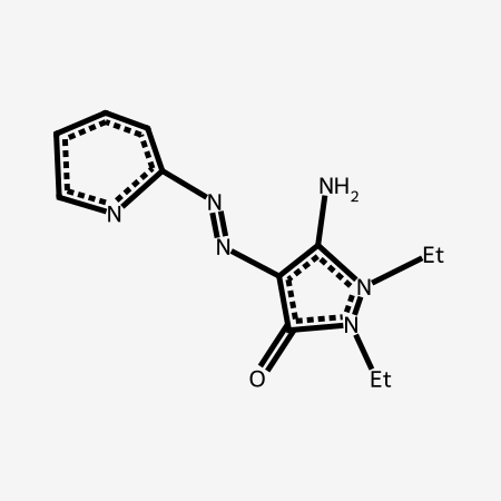 CCn1c(N)c(N=Nc2ccccn2)c(=O)n1CC